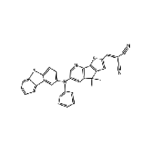 CC1(C)c2cc(N(c3ccccc3)c3ccc4sc5ccccc5c4c3)cnc2-c2sc(C=C(C#N)C#N)cc21